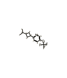 CC(C)C1CC(c2ccc(OC(F)(F)F)cn2)C1